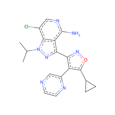 CC(C)n1nc(-c2noc(C3CC3)c2-c2cnccn2)c2c(N)ncc(Cl)c21